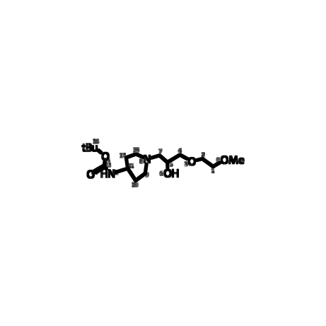 COCCOCC(O)CN1CCC(NC(=O)OC(C)(C)C)CC1